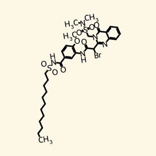 CCCCCCCCCCCCS(=O)(=O)NC(=O)c1ccc(OC)c(NC(=O)C(Br)c2nc3ccccc3c(=O)n2CS(=O)(=O)N(C)C)c1